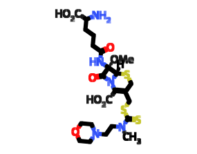 CO[C@@]1(NC(=O)CCCC(N)C(=O)O)C(=O)N2C(C(=O)O)=C(CSC(=S)N(C)CCN3CCOCC3)CS[C@H]21